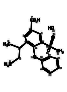 CC(CN)c1cc(C(=O)O)cc(S(N)(=O)=O)c1Oc1ccccc1.Cl